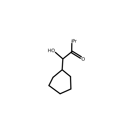 CC(C)C(=O)C(O)C1CCCCC1